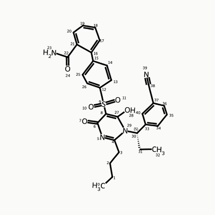 CCCCc1nc(=O)c(S(=O)(=O)c2ccc(-c3ccccc3C(N)=O)cc2)c(O)n1[C@@H](CC)c1cccc(C#N)c1